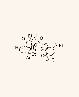 CCNC1C[C@H](C)S(=O)(=O)c2sc(S(=O)(=O)NC(C)(CC)C(=O)C(C)OC(CC)(CC)C(C)=O)cc21